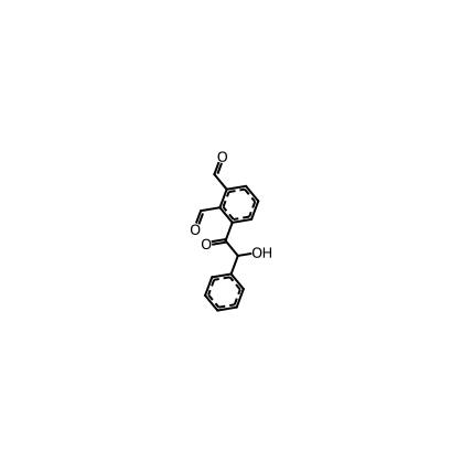 O=Cc1cccc(C(=O)C(O)c2ccccc2)c1C=O